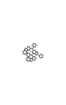 c1ccc(-c2nc3cc(N(c4ccccc4)c4ccc5oc6ccccc6c5c4)cc(N(c4ccccc4)c4cccc5oc6ccccc6c45)c3o2)cc1